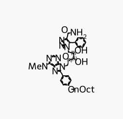 CCCCCCCCOc1ccc(-c2nc3c(NC)ncnc3n2C[C@H]2OC(n3nnc(C(N)=O)c3-c3ccccc3)[C@H](O)[C@@H]2O)cc1